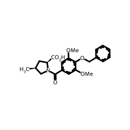 COc1cc(C(=O)N2C[C@@H](C)C[C@H]2C(=O)O)cc(OC)c1OCc1ccccc1